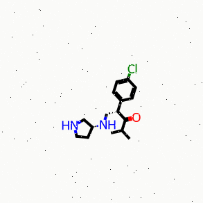 CC(C)C(=O)[C@H](CN[C@@H]1CCNC1)c1ccc(Cl)cc1